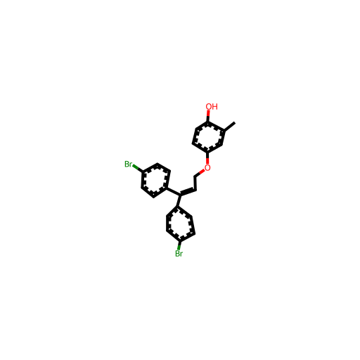 Cc1cc(OCC=C(c2ccc(Br)cc2)c2ccc(Br)cc2)ccc1O